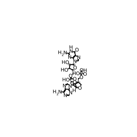 Nc1nc2c(ncn2[C@@H]2O[C@H](COP(=O)(O)OC3[C@@H]4OC[C@@]3(COP(=O)(O)O)O[C@H]4n3cnc4c(N)ncnc43)C(O)[C@@H]2O)c(=O)[nH]1